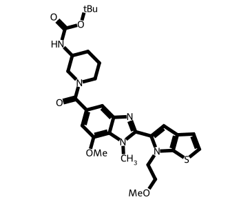 COCCn1c(-c2nc3cc(C(=O)N4CCCC(NC(=O)OC(C)(C)C)C4)cc(OC)c3n2C)cc2ccsc21